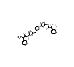 CC(C(=O)Nc1nnc(C[C@H]2CC[C@@H](c3nnc(NC(=O)C(C)c4cccnc4)s3)C2)s1)c1cccnc1